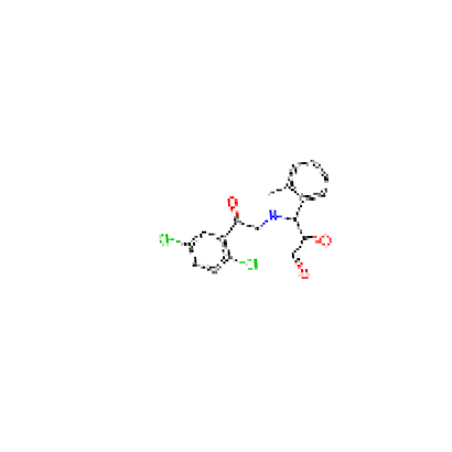 O=CC(=O)C1c2ccccc2CN1CC(=O)c1cc(Cl)ccc1Cl